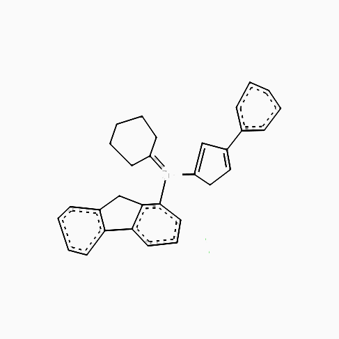 C1=C(c2ccccc2)C=[C]([Zr+2](=[C]2CCCCC2)[c]2cccc3c2Cc2ccccc2-3)C1.[Cl-].[Cl-]